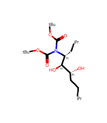 CC(C)CC[C@@H](O)[C@@H](O)[C@@H](CC(C)C)N(C(=O)OC(C)(C)C)C(=O)OC(C)(C)C